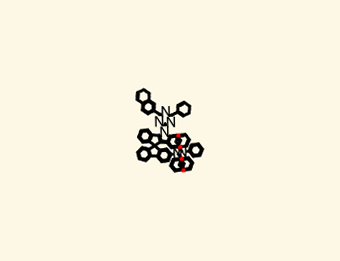 C1=CCC(N(c2ccccc2)c2ccc3c(c2)C2(c4ccccc4-3)c3ccccc3-c3c2c2cc(N(c4ccccc4)c4ccccc4)ccc2n3-c2nc(C3=CCCC=C3)nc(-c3ccc4c(c3)CCC=C4)n2)C=C1